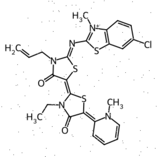 C=CCN1C(=O)/C(=c2/s/c(=C3/C=CC=CN3C)c(=O)n2CC)S/C1=N\c1sc2cc(Cl)ccc2[n+]1C